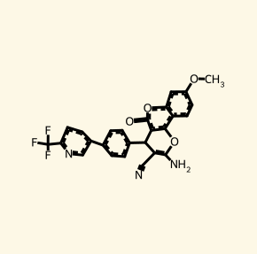 COc1ccc2c3c(c(=O)oc2c1)C(c1ccc(-c2ccc(C(F)(F)F)nc2)cc1)C(C#N)=C(N)O3